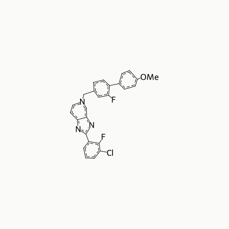 COc1ccc(-c2ccc(Cn3ccc4nc(-c5cccc(Cl)c5F)nc-4c3)cc2F)cc1